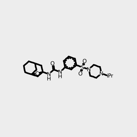 CC(C)N1CCN(S(=O)(=O)c2cccc(NC(=O)NC34CC5CCCC(C5)(C3)C4)c2)CC1